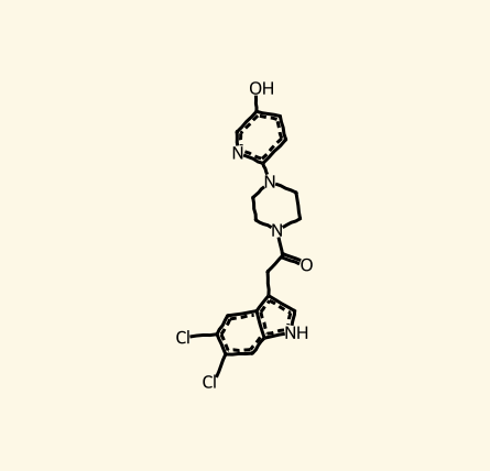 O=C(Cc1c[nH]c2cc(Cl)c(Cl)cc12)N1CCN(c2ccc(O)cn2)CC1